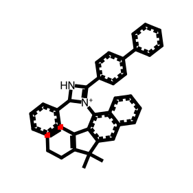 CC1(C)C2=C(C=CCC2)c2c1cc1ccccc1c2[N+]1=C(c2ccc(-c3ccccc3)cc2)NC1c1ccccc1